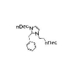 CCCCCCCCCCCCN1C=CN(CCCCCCCCCC)C1Cc1ccccc1